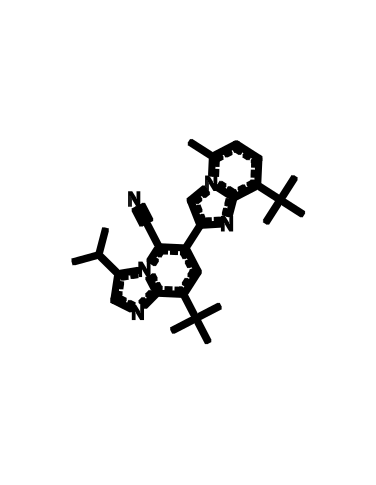 Cc1ccc(C(C)(C)C)c2nc(-c3cc(C(C)(C)C)c4ncc(C(C)C)n4c3C#N)cn12